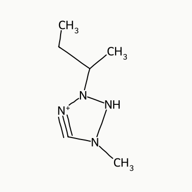 CCC(C)N1[N+]#CN(C)N1